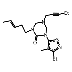 CC=CCCN1CN(CC#CCC)CN(c2snc(CC)c2C)C1=O